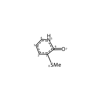 CSc1ccc[nH]c1=O